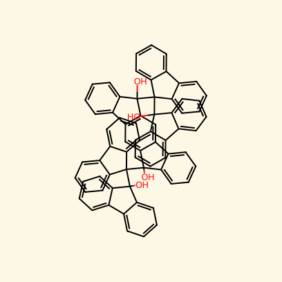 OC1(C2(C3(O)c4ccccc4-c4cc5c(cc43)-c3ccccc3C5(O)C3(C4(O)c5ccccc5-c5ccccc54)c4ccccc4-c4ccccc43)c3ccccc3-c3ccccc32)c2ccccc2-c2ccccc21